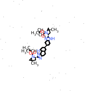 CC(C)(C)OC(=O)N1C2C[C@]2(C)C[C@H]1c1nc2cc(-c3ccc4c(ccc5nc([C@@H]6C[C@@]7(C)CC7N6C(=O)OC(C)(C)C)[nH]c54)c3)ccc2[nH]1